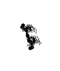 CNC(C)C(=O)NC(C(=O)N1Cc2cc(OC(=O)c3ccc(CO[C@H]4C[C@@H](C(=O)N[C@@H]5CCCc6ccccc65)N(C(=O)C(NC(=O)C(C)NC)C(C)(C)C)C4)cc3)ccc2CC1C(=O)N[C@@H]1CCCc2ccccc21)C(C)(C)C